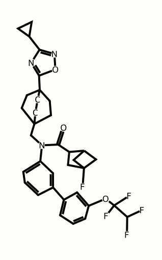 O=C(C1CC2(F)CC1C2)N(CC12CCC(c3nc(C4CC4)no3)(CC1)CC2)c1cccc(-c2cccc(OC(F)(F)C(F)F)c2)c1